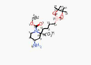 CCCCOC(=O)N1CC[C@H](N)C[C@]1(CCCCB1OC(C)(C)C(C)(C)O1)C(=O)O